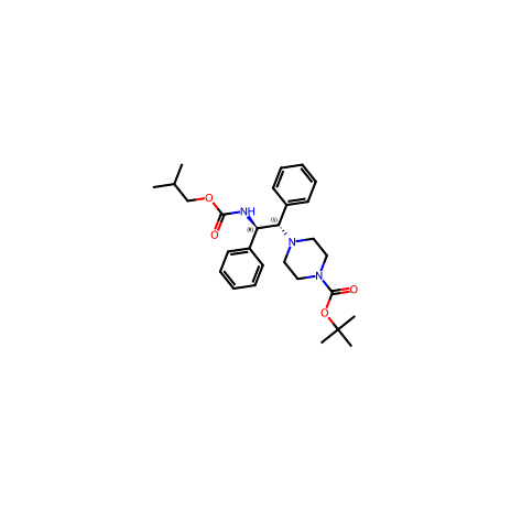 CC(C)COC(=O)N[C@H](c1ccccc1)[C@H](c1ccccc1)N1CCN(C(=O)OC(C)(C)C)CC1